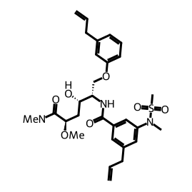 C=CCc1cccc(OC[C@H](NC(=O)c2cc(CC=C)cc(N(C)S(C)(=O)=O)c2)[C@@H](O)C[C@@H](OC)C(=O)NC)c1